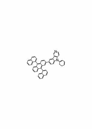 C1=CCCC(n2c3ccncc3c3cc(-c4ccc5c(-c6cccc7ccccc67)c6ccccc6c(-c6cccc7ccccc67)c5c4)ccc32)=C1